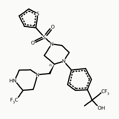 CC(O)(c1ccc(N2CCN(S(=O)(=O)c3cccs3)C[C@@H]2CN2CCNC(C(F)(F)F)C2)cc1)C(F)(F)F